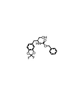 O=C(N[C@H](CO)Cc1ccc2c(c1)OC(F)(F)O2)OCc1ccccc1